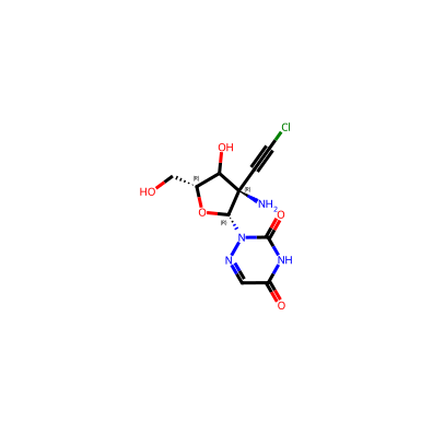 N[C@]1(C#CCl)C(O)[C@@H](CO)O[C@H]1n1ncc(=O)[nH]c1=O